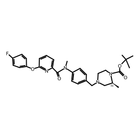 C[C@H]1CN(Cc2ccc(N(C)C(=O)c3cccc(Oc4ccc(F)cc4)n3)cc2)CCN1C(=O)OC(C)(C)C